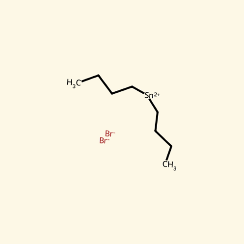 CCC[CH2][Sn+2][CH2]CCC.[Br-].[Br-]